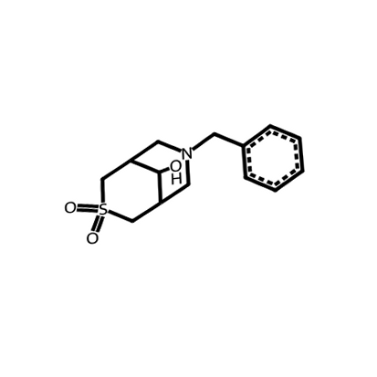 O=S1(=O)CC2CN(Cc3ccccc3)CC(C1)C2O